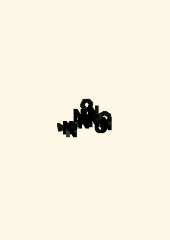 O=c1nccccc1Nc1nc2ccccc2c2nc(-c3cnn(C4CC4)c3)nn12